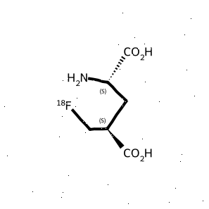 N[C@@H](C[C@H](C[18F])C(=O)O)C(=O)O